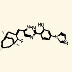 C[C@@H]1C[C@@]2(C)C/C(=C/c3cnc(-c4ccc(-n5ccnc5)cc4O)nn3)[C@@H](F)[C@@](C)(C1)C2